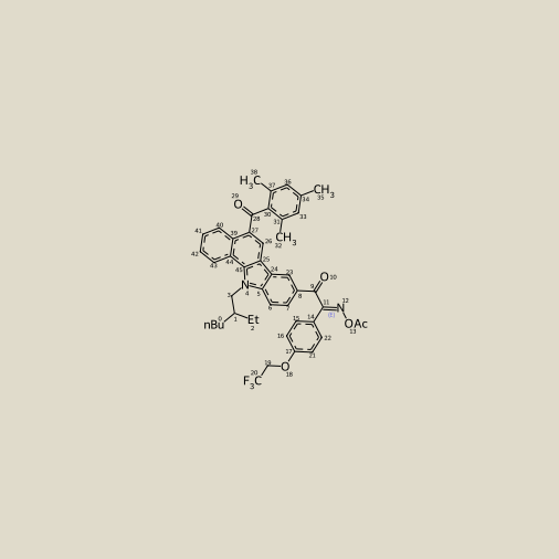 CCCCC(CC)Cn1c2ccc(C(=O)/C(=N/OC(C)=O)c3ccc(OCC(F)(F)F)cc3)cc2c2cc(C(=O)c3c(C)cc(C)cc3C)c3ccccc3c21